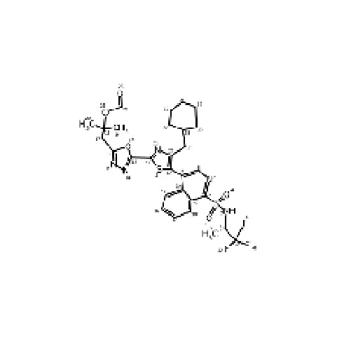 C[C@H](NS(=O)(=O)c1ncc(-c2sc(-c3nnc(CC(C)(C)OC=O)o3)nc2CC2CCCCC2)c2ccccc12)C(F)(F)F